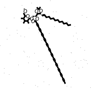 CC#CC#CC#CC#CC#CC#CC#CC#CC#CC#CC#CC#CC(=O)O[C@@H](COC1OC(COC)C(C)C(C)C1C)[C@@H]1OC(C)(C)O[C@@H]1C=CCCCCCCCCCCCC